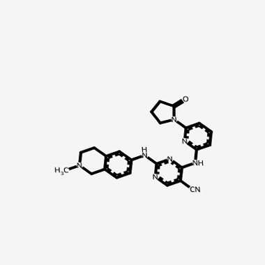 CN1CCc2cc(Nc3ncc(C#N)c(Nc4cccc(N5CCCC5=O)n4)n3)ccc2C1